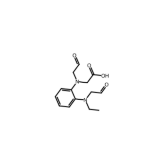 CCN(CC=O)c1ccccc1N(CC=O)CC(=O)O